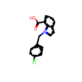 O=C(O)c1cccc2ccn(Cc3ccc(Cl)cc3)c12